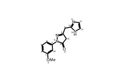 COc1cccc(N2N=C(Cc3ncc[nH]3)CC2=O)c1